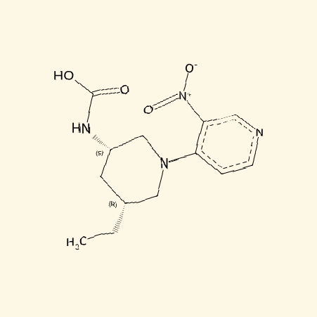 CC[C@@H]1C[C@H](NC(=O)O)CN(c2ccncc2[N+](=O)[O-])C1